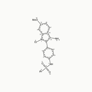 CCn1c(-c2ccc(NS(=O)(=O)C(C)C)cc2)c(N)c2ccc(OC)cc21